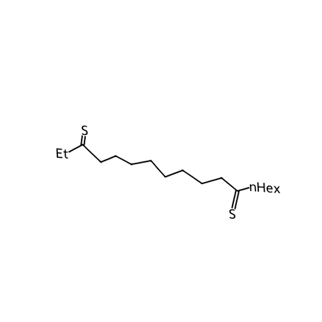 CCCCCCC(=S)CCCCCCCCC(=S)CC